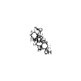 CC(=O)[C@H]1CC[C@@H](C)[C@H]2[C@@H]3CC[C@H]4C[C@](C)(O)CC[C@@H]4[C@H]3CC[C@@]21C